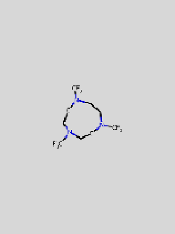 FC(F)(F)N1CCN(C(F)(F)F)CCN(C(F)(F)F)CC1